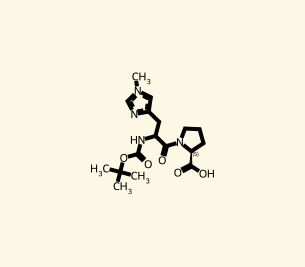 Cn1cnc(CC(NC(=O)OC(C)(C)C)C(=O)N2CCC[C@H]2C(=O)O)c1